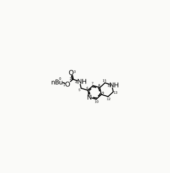 CCCCOC(=O)NCc1cc2c(cn1)CCNC2